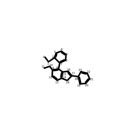 CCc1ccccc1-c1c(CC)ccc2c1C=C(c1ccccc1)[CH]2